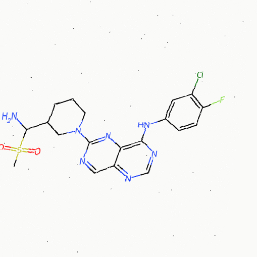 CS(=O)(=O)C(N)C1CCCN(c2ncc3ncnc(Nc4ccc(F)c(Cl)c4)c3n2)C1